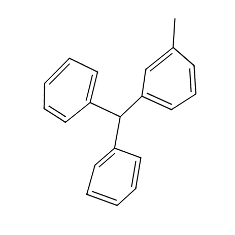 Cc1cccc(C(c2ccccc2)c2ccccc2)c1